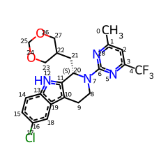 Cc1cc(C(F)(F)F)nc(N2CCc3c([nH]c4ccc(Cl)cc34)[C@@H]2CC2COCOC2)n1